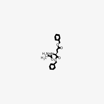 C[C@H](N)C(=O)N[C@@H](CCC(=O)OCc1ccccc1)C(=O)OCc1ccccc1